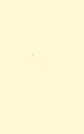 CCN(CC)CCN(Cc1cccc(C)c1)CC1CCCCC1